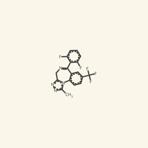 Cc1nnc2n1-c1ccc(C(F)(F)F)cc1C(c1c(F)cccc1F)=NC2